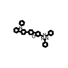 c1ccc(-c2nc(-c3ccccc3)nc(-c3ccc4c(c3)oc3cc(-c5ccc6c7ccccc7n(-c7ccccc7)c6c5)ccc34)n2)cc1